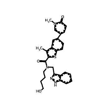 Cc1c(C(=O)N(CCCCO)Cc2n[nH]c3ccccc23)sc2ccc(-c3ccc(=O)n(C)c3)cc12